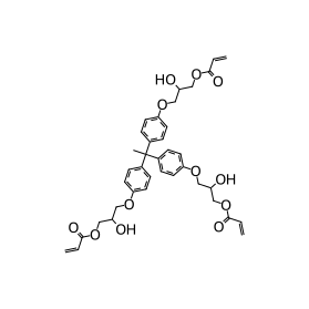 C=CC(=O)OCC(O)COc1ccc(C(C)(c2ccc(OCC(O)COC(=O)C=C)cc2)c2ccc(OCC(O)COC(=O)C=C)cc2)cc1